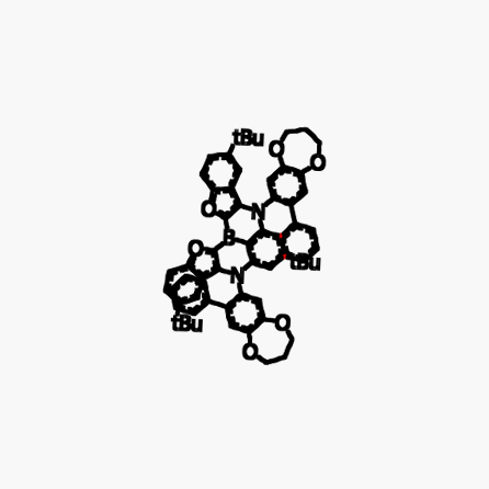 CC(C)(C)c1cc2c3c(c1)N(c1cc4c(cc1-c1ccccc1)OCCCO4)c1c(oc4ccc(C(C)(C)C)cc14)B3c1oc3ccc(C(C)(C)C)cc3c1N2c1cc2c(cc1-c1ccccc1)OCCCO2